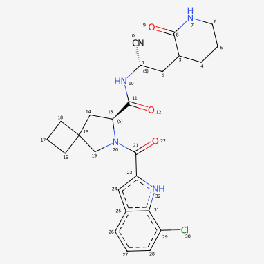 N#C[C@H](CC1CCCNC1=O)NC(=O)[C@@H]1CC2(CCC2)CN1C(=O)c1cc2cccc(Cl)c2[nH]1